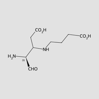 N[C@H](C=O)C(CC(=O)O)NCCCC(=O)O